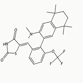 CN(C)c1cc2c(cc1-c1c(C=C3SC(=O)NC3=O)cccc1OC(F)(F)F)C(C)(C)CCC2(C)C